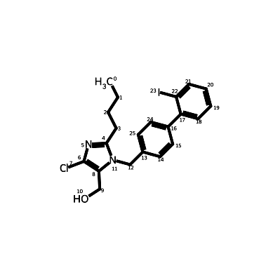 CCCCc1nc(Cl)c(CO)n1Cc1ccc(-c2ccccc2I)cc1